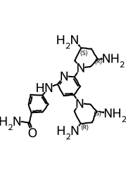 NC(=O)c1ccc(Nc2cc(N3C[C@H](N)C[C@H](N)C3)cc(N3C[C@H](N)C[C@H](N)C3)n2)cc1